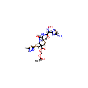 Cc1nnc(SCC2(C(=O)OCOC(=O)C(C)(C)C)CS[C@@H]3C(NC(=O)C(=NO)c4nsc(N)n4)C(=O)N3C2)s1